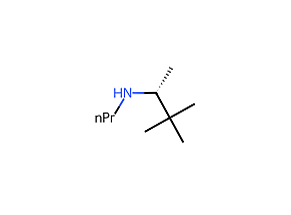 CCCN[C@H](C)C(C)(C)C